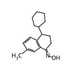 Cc1ccc2c(c1)/C(=N/O)CCC2C1CCCCC1